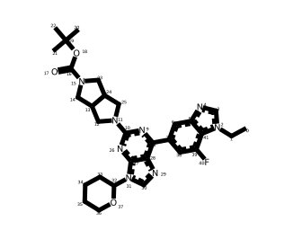 CCn1cnc2cc(-c3nc(N4CC5CN(C(=O)OC(C)(C)C)CC5C4)nc4c3ncn4C3CCCCO3)cc(F)c21